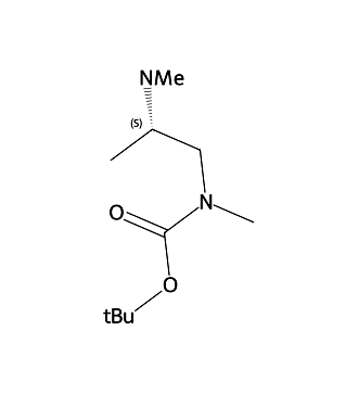 CN[C@@H](C)CN(C)C(=O)OC(C)(C)C